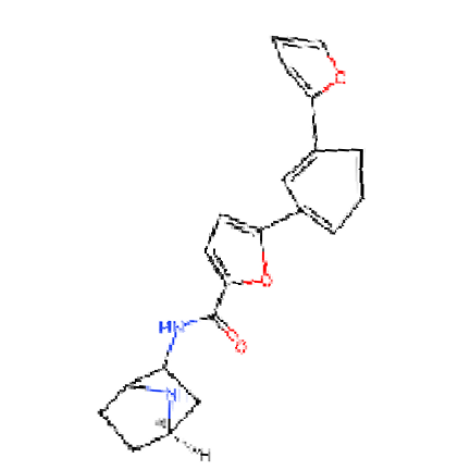 O=C(NC1C[C@H]2CCC1N2)c1ccc(-c2cccc(-c3ccco3)c2)o1